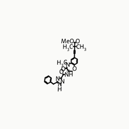 COC(=O)C(C)(C)C#Cc1ccc2c(c1)N(C)C(=O)[C@@H](NC(=O)c1n[nH]c(Cc3ccccc3)n1)CO2